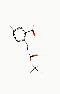 CC(C)(C)OC(=O)NCc1ccc(F)cc1C(=O)O